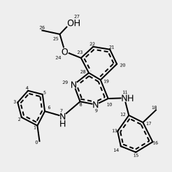 Cc1ccccc1Nc1nc(Nc2ccccc2C)c2cccc(OC(C)O)c2n1